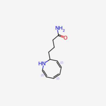 NC(=O)CCCC1\C=C/C=C\C=C/N1